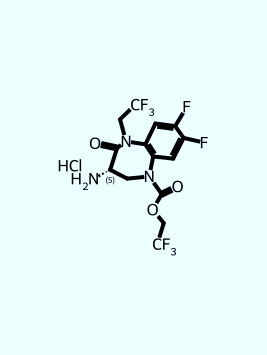 Cl.N[C@H]1CN(C(=O)OCC(F)(F)F)c2cc(F)c(F)cc2N(CC(F)(F)F)C1=O